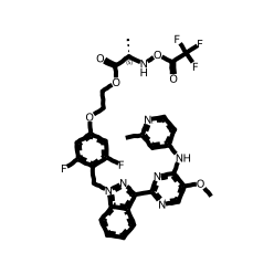 COc1cnc(-c2nn(Cc3c(F)cc(OCCOC(=O)[C@H](C)NOC(=O)C(F)(F)F)cc3F)c3ccccc23)nc1Nc1ccnc(C)c1